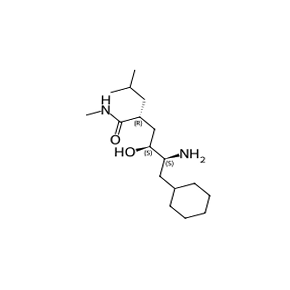 CNC(=O)[C@H](CC(C)C)C[C@H](O)[C@@H](N)CC1CCCCC1